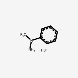 Br.NN(c1ccccc1)C(F)(F)F